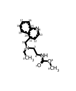 CCN(CCNC(=O)OC)Cc1ccnc2ccccc12